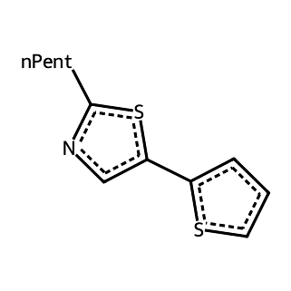 CCCCCc1ncc(-c2cccs2)s1